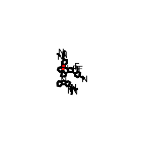 Cc1nc(C)nc(-c2ccc3c(c2)c2ccccc2n3-c2ccc(C#N)c(-c3cc(-c4ccc(C#N)cc4C(F)(F)F)ccc3-n3c4ccccc4c4cc(-c5nc(C)nc(C)n5)ccc43)c2)n1